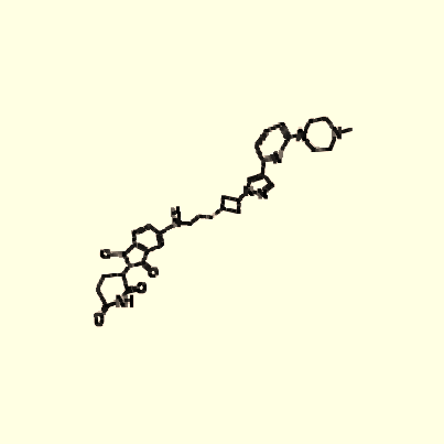 CN1CCN(c2cccc(-c3cnn(C4CC(CCCNc5ccc6c(c5)C(=O)C(C5CCC(=O)NC5=O)C6=O)C4)c3)n2)CC1